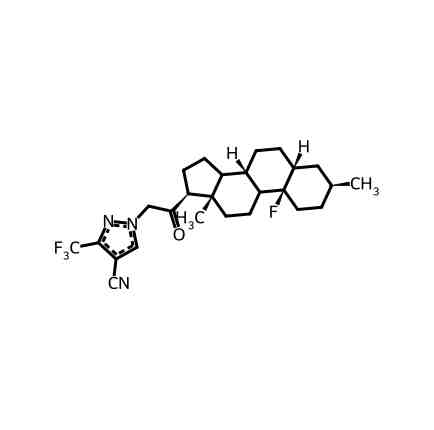 C[C@H]1CC[C@]2(F)C3CC[C@@]4(C)C(CC[C@@H]4C(=O)Cn4cc(C#N)c(C(F)(F)F)n4)[C@@H]3CC[C@@H]2C1